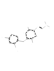 CCN(C)/C=N/c1cc(C)c(Cc2ccc(F)cc2C)cc1C